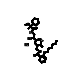 COCCCCOc1ccccc1C(=O)NCC(CC(N)C(O)CNC(=O)C(C)(OC)C1CCCCC1)C(C)C.Cl